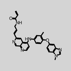 C=CC(=O)NCC=Cc1cc2c(Nc3ccc(Oc4ccc5c(c4)ncn5C)c(C)c3)ccnc2cn1